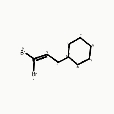 BrC(Br)=CCC1CCCCC1